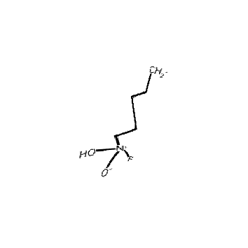 [CH2]CCCC[N+]([O-])(O)F